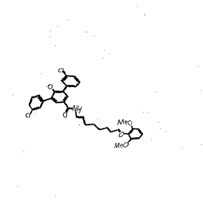 COc1cccc(OC)c1OCCCCCCCCNC(=O)c1cc(-c2cccc(Cl)c2)c([O])c(-c2cccc(Cl)c2)c1